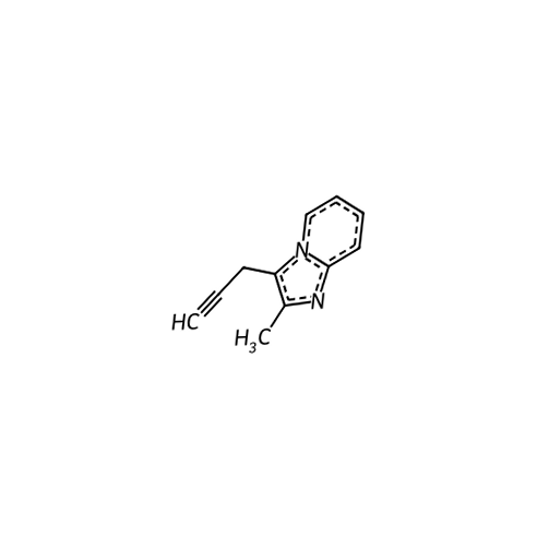 C#CCc1c(C)nc2ccccn12